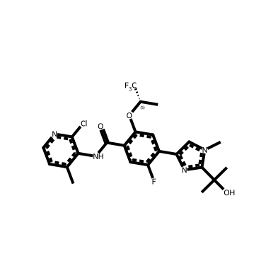 Cc1ccnc(Cl)c1NC(=O)c1cc(F)c(-c2cn(C)c(C(C)(C)O)n2)cc1O[C@@H](C)C(F)(F)F